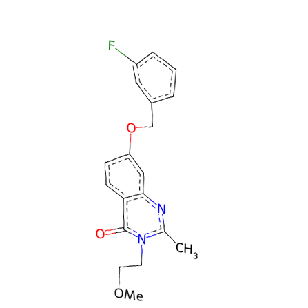 COCCn1c(C)nc2cc(OCc3cccc(F)c3)ccc2c1=O